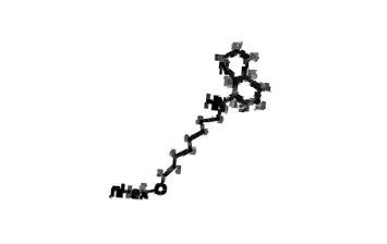 CCCCCCOCCCCCCCCNc1cccc2cccnc12